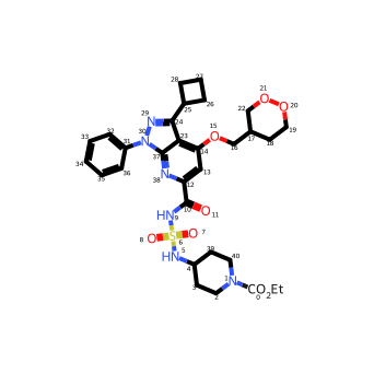 CCOC(=O)N1CCC(NS(=O)(=O)NC(=O)c2cc(OCC3CCOOC3)c3c(C4CCC4)nn(-c4ccccc4)c3n2)CC1